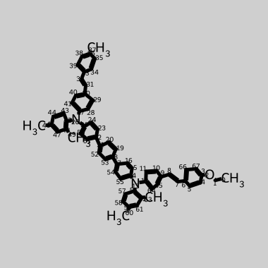 CCOc1ccc(/C=C/c2ccc(N(c3ccc(-c4ccc(-c5ccc(N(c6ccc(/C=C/c7ccc(C)cc7)cc6)c6ccc(C)cc6C)cc5)cc4)cc3)c3ccc(C)cc3C)cc2)cc1